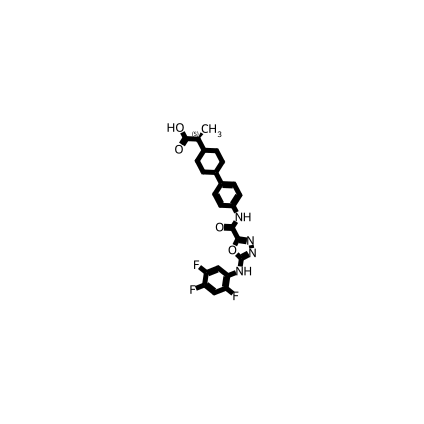 C[C@H](C(=O)O)C1CCC(c2ccc(NC(=O)c3nnc(Nc4cc(F)c(F)cc4F)o3)cc2)CC1